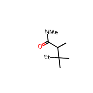 CCC(C)(C)C(C)C(=O)NC